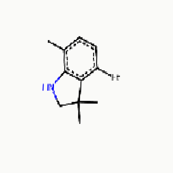 CCc1ccc(C)c2c1C(C)(C)CN2